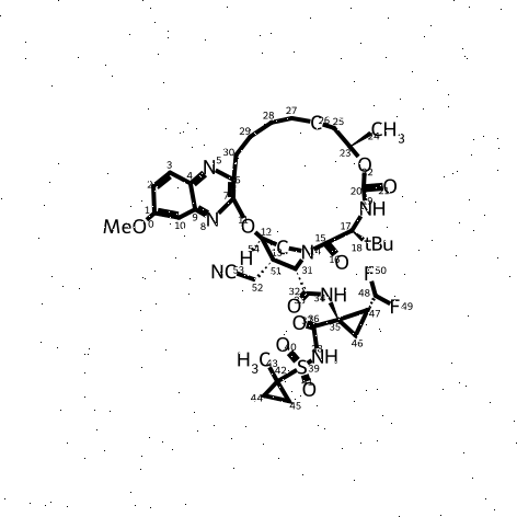 COc1ccc2nc3c(nc2c1)O[C@H]1CN(C(=O)[C@H](C(C)(C)C)NC(=O)O[C@H](C)CCCCCC3)[C@H](C(=O)N[C@]2(C(=O)NS(=O)(=O)C3(C)CC3)C[C@H]2C(F)F)[C@@H]1CC#N